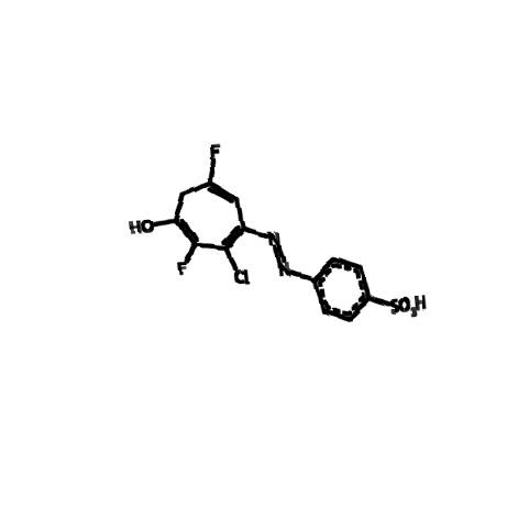 O=S(=O)(O)c1ccc(/N=N/C2=C(Cl)C(F)=C(O)CC(F)=C2)cc1